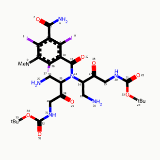 CNc1c(I)c(C(N)=O)c(I)c(C(=O)N(C(CN)C(=O)CNC(=O)OC(C)(C)C)C(CN)C(=O)CNC(=O)OC(C)(C)C)c1I